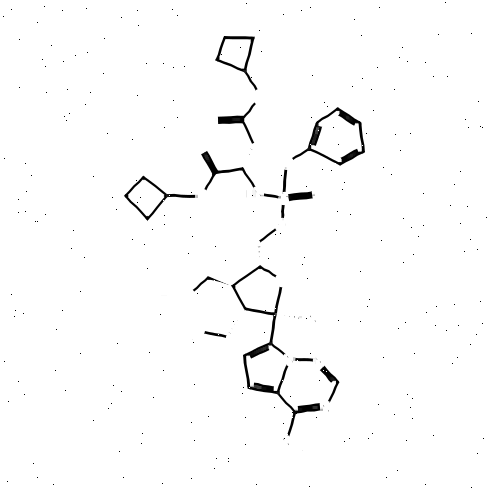 N#C[C@@]1(c2ccc3c(N)ncnn23)O[C@@H](COP(=O)(N[C@@H](CC(=O)OC2CCC2)C(=O)OC2CCC2)Oc2ccccc2)[C@H](CC(=O)O)[C@H]1CC(=O)O